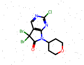 O=C1N(C2CCOCC2)c2nc(Cl)ncc2C1(Br)Br